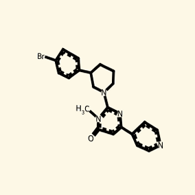 Cn1c(N2CCCC(c3ccc(Br)cc3)C2)nc(-c2ccncc2)cc1=O